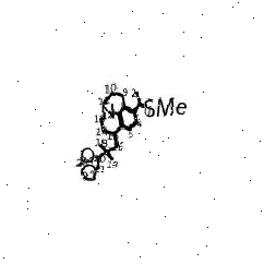 CSC(C)c1ccc2c3c1CCCN3CCC2CC(C)(C)C1COCO1